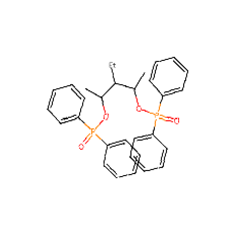 CCC(C(C)OP(=O)(c1ccccc1)c1ccccc1)C(C)OP(=O)(c1ccccc1)c1ccccc1